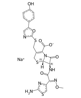 CON=C(C(=O)N[C@@H]1C(=O)N2C(C(=O)[O-])=C(CSc3ncc(-c4ccc(O)cc4)o3)CS[C@@H]12)c1csc(N)n1.[Na+]